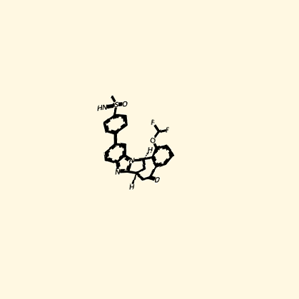 CS(=N)(=O)c1ccc(-c2ccc3nc4n(c3c2)[C@@H]2C[C@@H]4CC(=O)c3cccc(OC(F)F)c32)cc1